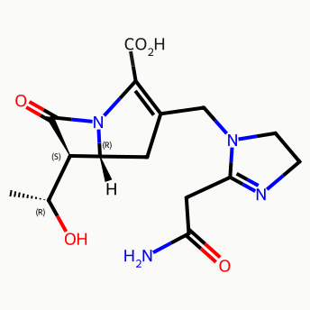 C[C@@H](O)[C@H]1C(=O)N2C(C(=O)O)=C(CN3CCN=C3CC(N)=O)C[C@H]12